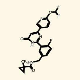 O=C(NCc1ccc(F)c(-c2nc(-c3ccc(OC(F)F)nc3)cc(=O)[nH]2)c1)C1(C(F)(F)F)CC1